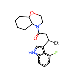 CCC(CC(=O)N1CCOC2CCCCC21)c1c[nH]c2cccc(F)c12